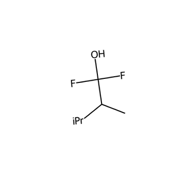 CC(C)C(C)C(O)(F)F